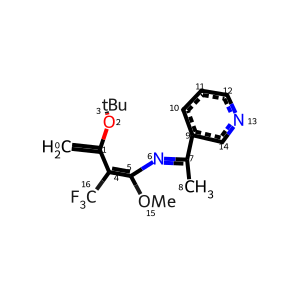 C=C(OC(C)(C)C)/C(=C(\N=C(/C)c1cccnc1)OC)C(F)(F)F